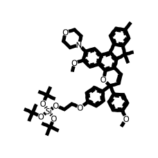 COc1ccc(C2(c3ccc(OCCO[Si](OC(C)(C)C)(OC(C)(C)C)OC(C)(C)C)cc3)C=Cc3c4c(c5cc(N6CCOCC6)c(OC)cc5c3O2)-c2ccc(C)cc2C4(C)C)cc1